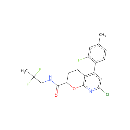 Cc1ccc(-c2cc(Cl)nc3c2CCC(C(=O)NCC(C)(F)F)O3)c(F)c1